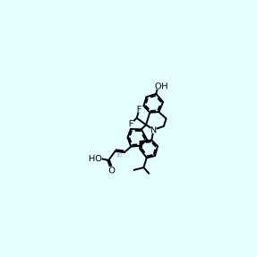 CC(C)c1ccc(N2CCc3cc(O)ccc3C2(c2ccc(/C=C/C(=O)O)cc2)C(F)F)cc1